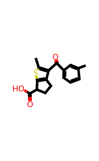 Cc1cccc(C(=O)c2c(C)sc3c2CCC3C(=O)O)c1